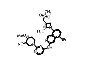 CO[C@H]1CCN(c2nccc(Nc3cc4c(C(C)C)ccc(N5C[C@H](CS(C)(=O)=O)[C@H]5C)c4cn3)n2)CC1C#N